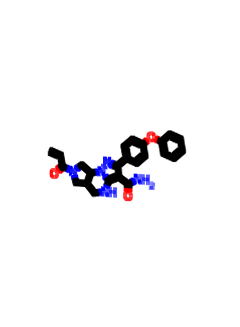 C=CC(=O)N1CC2CNc3c(C(N)=O)c(-c4ccc(Oc5ccccc5)cc4)nn3C2C1